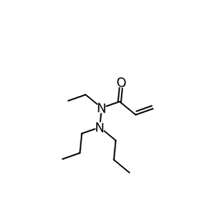 C=CC(=O)N(CC)N(CCC)CCC